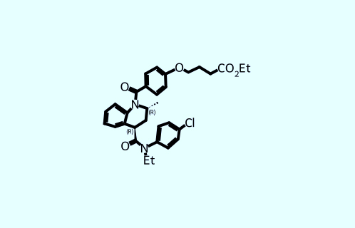 CCOC(=O)CCCOc1ccc(C(=O)N2c3ccccc3[C@H](C(=O)N(CC)c3ccc(Cl)cc3)C[C@H]2C)cc1